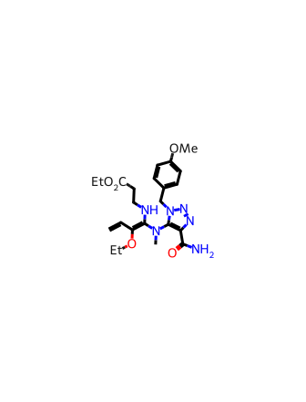 C=C/C(OCC)=C(\NCCC(=O)OCC)N(C)c1c(C(N)=O)nnn1Cc1ccc(OC)cc1